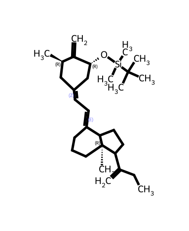 C=C(CC)C1CCC2/C(=C/C=C3/C[C@@H](C)C(=C)[C@H](O[Si](C)(C)C(C)(C)C)C3)CCC[C@]12C